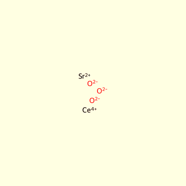 [Ce+4].[O-2].[O-2].[O-2].[Sr+2]